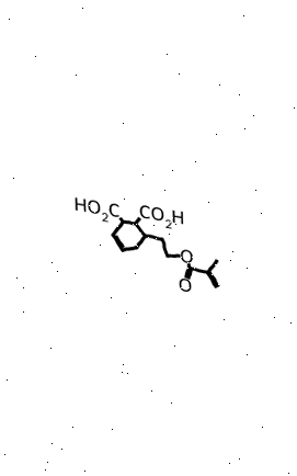 C=C(C)C(=O)OCCC1CC=CC(C(=O)O)C1C(=O)O